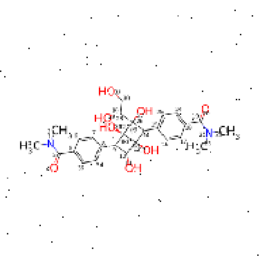 CN(C)C(=O)c1ccc(C2C(O)[C@@]3(O)C(c4ccc(C(=O)N(C)C)cc4)[C@@](O)([C@H](O)CO)[C@@]23O)cc1